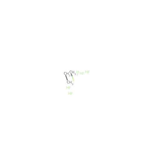 CC.CF.F.F.F.F.F